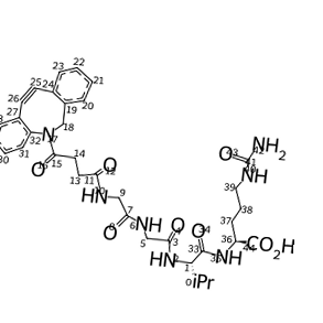 CC(C)[C@H](NC(=O)CNC(=O)CNC(=O)CCC(=O)N1Cc2ccccc2C#Cc2ccccc21)C(=O)N[C@@H](CCCNC(N)=O)C(=O)O